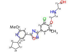 COc1cc(-c2nc(-c3cc(C)c(OCCNCCO)c(Cl)c3)no2)cc(C2CCCC2)n1